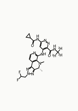 [2H]C([2H])([2H])NC(=O)c1nnc(NC(=O)C2CC2)cc1Nc1nccc2c1N(C)[C@H](C)c1nn(CC(F)F)nc1-2